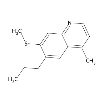 CCCc1cc2c(C)ccnc2cc1SC